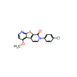 COc1ccnc2sc3c(=O)n(-c4ccc(Cl)cc4)ccc3c12